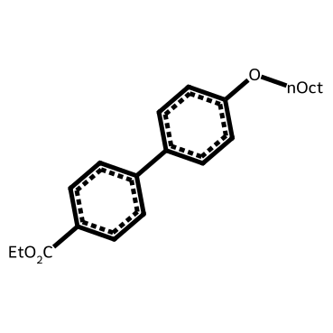 CCCCCCCCOc1ccc(-c2ccc(C(=O)OCC)cc2)cc1